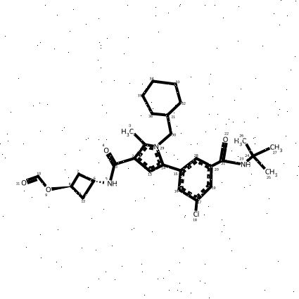 Cc1c(C(=O)N[C@H]2C[C@H](OC=O)C2)cc(-c2cc(Cl)cc(C(=O)NC(C)(C)C)c2)n1CC1CCCCC1